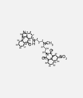 CN(CCCNc1ccc2ncn3c4ccccc4c(=O)c1c23)CCCN1C(=O)c2cccc3cc([N+](=O)[O-])cc(c23)C1=O